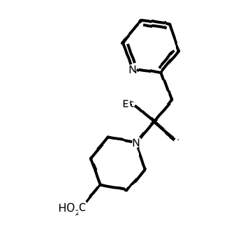 [CH2]C(CC)(Cc1ccccn1)N1CCC(C(=O)O)CC1